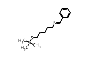 C[Si](C)(C)SCCCCCN=Cc1ccccc1